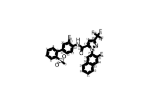 CS(=O)(=O)c1ccccc1-c1ccc(NC(=O)c2cc(C(F)(F)F)nn2-c2cc3ccccc3cc2F)c(F)c1